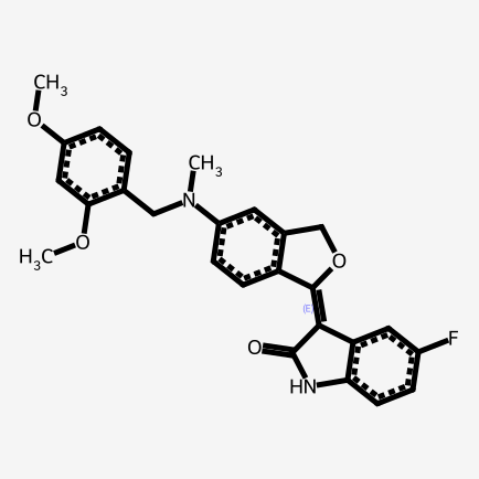 COc1ccc(CN(C)c2ccc3c(c2)CO/C3=C2/C(=O)Nc3ccc(F)cc32)c(OC)c1